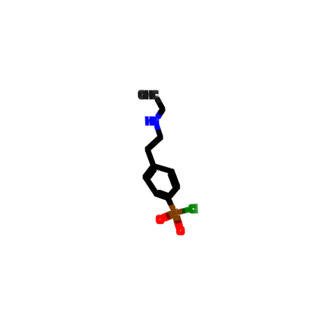 O=CCNCCc1ccc(S(=O)(=O)Cl)cc1